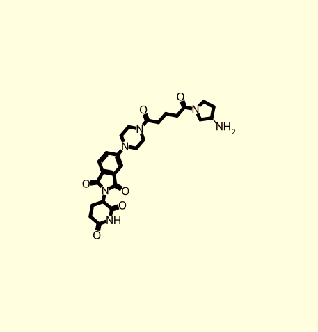 N[C@H]1CCN(C(=O)CCCC(=O)N2CCN(c3ccc4c(c3)C(=O)N(C3CCC(=O)NC3=O)C4=O)CC2)C1